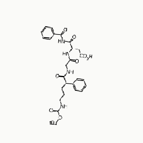 CC(C)(C)OC(=O)NCCC[C@@H](C(=O)NCC(=O)N[C@@H](CC(=O)O)C(=O)NC(=O)c1ccccc1)c1ccccc1